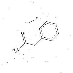 CF.NC(=O)Cc1ccccc1